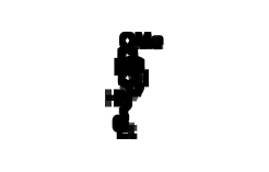 CCOCCCN[C@H]1CC[C@H]2[C@@H]3CCc4cc(OC)ccc4[C@H]3CC[C@]12C